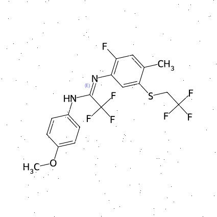 COc1ccc(N/C(=N/c2cc(SCC(F)(F)F)c(C)cc2F)C(F)(F)F)cc1